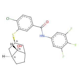 O=C(Nc1cc(F)c(F)c(F)c1)c1ccc(Cl)c(S[C@H]2CC3CC[C@@H](C2)[C@@H]3O)c1